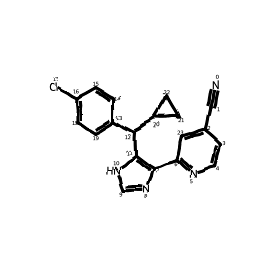 N#Cc1ccnc(-c2nc[nH]c2C(c2ccc(Cl)cc2)C2CC2)c1